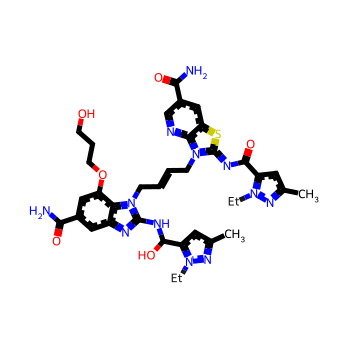 CCn1nc(C)cc1C(=O)/N=c1\sc2cc(C(N)=O)cnc2n1C/C=C/Cn1c(NC(O)c2cc(C)nn2CC)nc2cc(C(N)=O)cc(OCCCO)c21